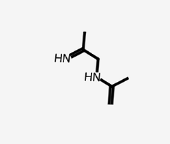 C=C(C)NCC(C)=N